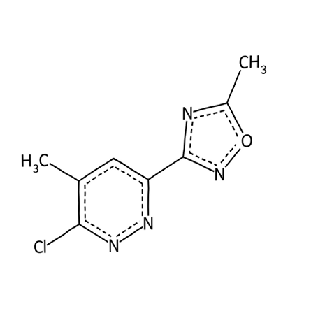 Cc1nc(-c2cc(C)c(Cl)nn2)no1